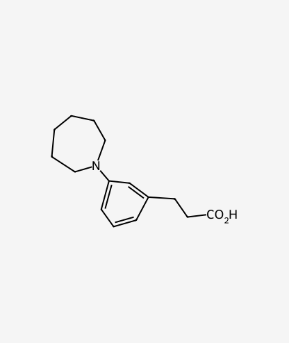 O=C(O)CCc1cccc(N2CCCCCC2)c1